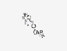 CC(C)(C)OC(=O)N1CCC[C@@H](c2ccc(/N=C/c3cccc(C(N)=O)c3N)cc2)C1